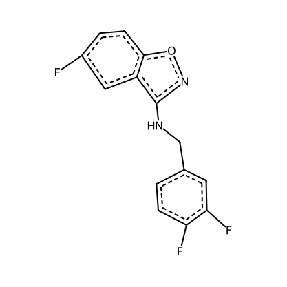 Fc1ccc2onc(NCc3ccc(F)c(F)c3)c2c1